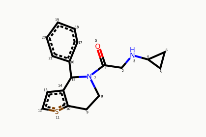 O=C(CNC1CC1)N1CCc2sccc2C1c1ccccc1